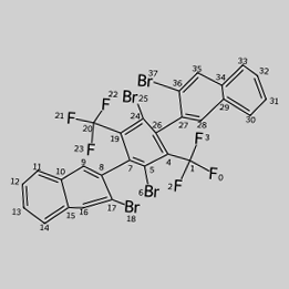 FC(F)(F)c1c(Br)c(-c2cc3ccccc3cc2Br)c(C(F)(F)F)c(Br)c1-c1cc2ccccc2cc1Br